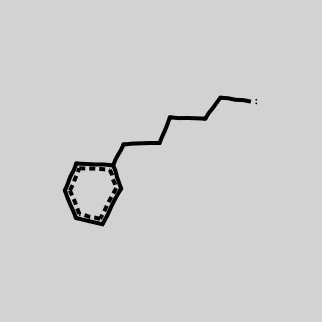 [CH]CCCCCc1ccccc1